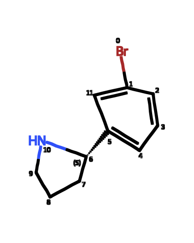 Brc1cccc([C@@H]2CCCN2)c1